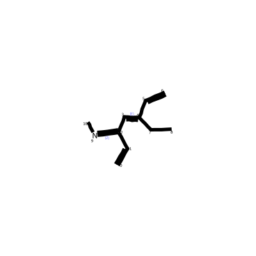 C=CC(/C=C(/C=C)CC)=N/C